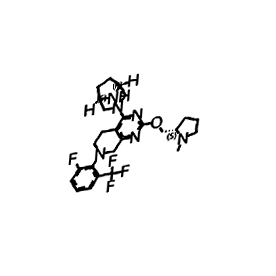 CN1CCC[C@H]1COc1nc2c(c(N3C[C@H]4CC[C@@H](C3)N4)n1)CCN(c1c(F)cccc1C(F)(F)F)C2